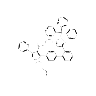 CCCC[N+]1(C)N=C(c2ccccc2)C(C(=O)OCC)=C1c1ccc(-c2ccccc2-c2nnn(C(c3ccccc3)(c3ccccc3)c3ccccc3)n2)cc1